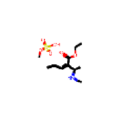 CCC=C(C(=O)OCC)C(C)NC.COS(=O)(=O)O